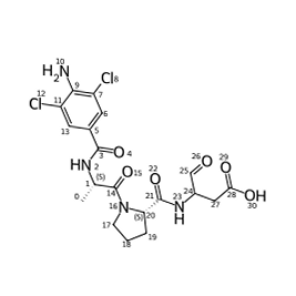 C[C@H](NC(=O)c1cc(Cl)c(N)c(Cl)c1)C(=O)N1CCC[C@H]1C(=O)NC(C=O)CC(=O)O